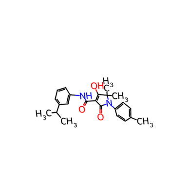 Cc1ccc(N2C(=O)C(C(=O)Nc3cccc(C(C)C)c3)=C(O)C2(C)C)cc1